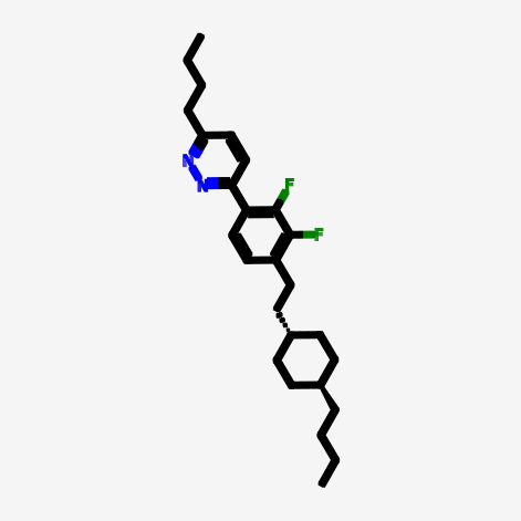 CCCCc1ccc(-c2ccc(CC[C@H]3CC[C@H](CCCC)CC3)c(F)c2F)nn1